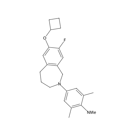 CNc1c(C)cc(N2CCCc3cc(OC4CCC4)c(F)cc3C2)cc1C